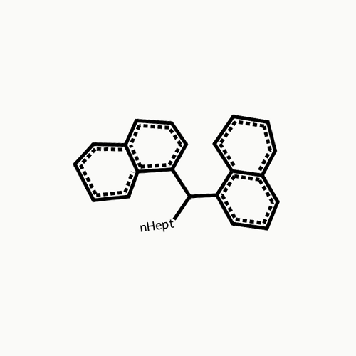 CCCCCCC[C](c1cccc2ccccc12)c1cccc2ccccc12